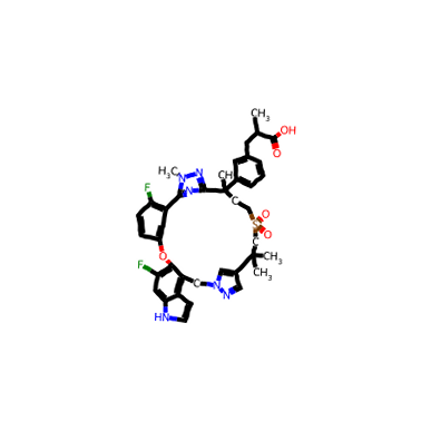 CC(Cc1cccc(C2(C)CCS(=O)(=O)CC(C)(C)c3cnn(c3)Cc3c(c(F)cc4[nH]ccc34)Oc3ccc(F)c(c3)-c3nc2nn3C)c1)C(=O)O